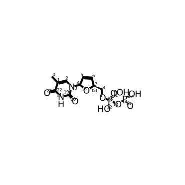 Cc1cn(C2C=C[C@@H](COP(=O)(O)OP(=O)(O)O)O2)c(=O)[nH]c1=O